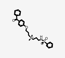 C[N+](C)(CCCNS(=O)(=O)c1ccccc1)CCCOc1ccc(C(=O)c2ccccc2)cc1